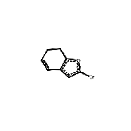 Brc1cc2c(o1)CCC=C2